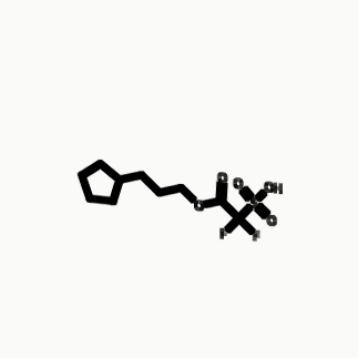 O=C(OCCCC1CCCC1)C(F)(F)S(=O)(=O)O